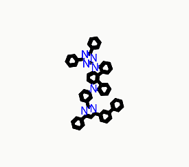 C1=CC(c2cccc(-c3cc(-c4ccccc4)nc(-c4cccc(-n5c6ccccc6c6c7c8ccccc8n(-c8nc(-c9ccccc9)nc(-c9ccccc9)n8)c7ccc65)c4)n3)c2)=CCC1